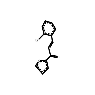 O=C(/C=[C]/c1ccccc1Br)c1cccs1